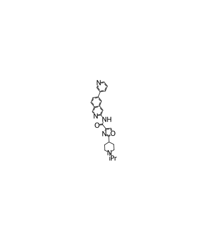 CC(C)N1CCC(c2nc(C(=O)Nc3cc4cc(-c5cccnc5)ccc4cn3)co2)CC1